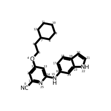 N#Cc1cc(OCCC2CCCCC2)cc(Nc2ccc3cc[nH]c3c2)n1